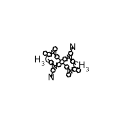 Cc1ccc(N(c2ccc(C#N)cc2)c2ccc3c(-c4ccc(N(c5ccccc5)c5ccc6ccccc6c5)cc4)c4cc(N(c5ccc(C)cc5)c5ccc(C#N)cc5)ccc4c(-c4ccc(N(c5ccccc5)c5ccc6ccccc6c5)cc4)c3c2)cc1